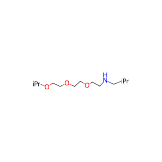 CC(C)CNCCOCCOCCOC(C)C